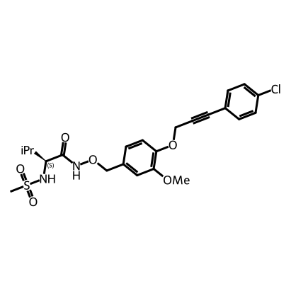 COc1cc(CONC(=O)[C@@H](NS(C)(=O)=O)C(C)C)ccc1OCC#Cc1ccc(Cl)cc1